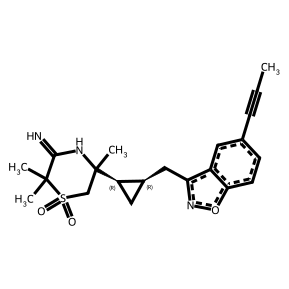 CC#Cc1ccc2onc(C[C@H]3C[C@H]3C3(C)CS(=O)(=O)C(C)(C)C(=N)N3)c2c1